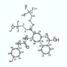 COC(C)(C)CCN(CCCC(F)(F)F)c1ccc(-c2ccccc2C(=O)O)cc1NC(=O)Nc1ccc(C)cc1